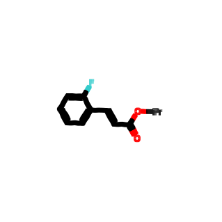 CC(C)OC(=O)C=Cc1ccccc1F